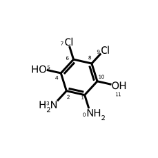 Nc1c(N)c(O)c(Cl)c(Cl)c1O